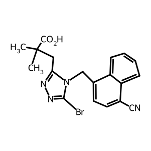 CC(C)(Cc1nnc(Br)n1Cc1ccc(C#N)c2ccccc12)C(=O)O